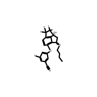 CCCC/N=C1/C[C@@]2(O)c3c(ccc(Oc4cc(F)cc(C#N)c4)c31)C(F)(F)C2(F)F